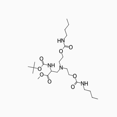 CCCCNC(=O)OCCN(CCOC(=O)NCCCC)CC(NC(=O)OC(C)(C)C)C(=O)OC